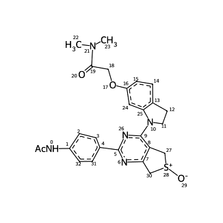 CC(=O)Nc1ccc(-c2nc3c(c(N4CCc5ccc(OCC(=O)N(C)C)cc54)n2)C[S+]([O-])C3)cc1